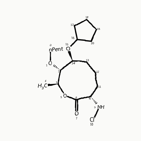 CCCCCO[C@H]1[C@H](C)OC(=O)[C@@H](NCl)CCC[C@@H]1OC1CCCC1